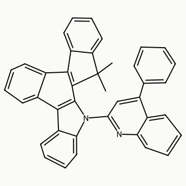 CC1(C)c2ccccc2-c2c1c1c(c3ccccc23)c2ccccc2n1-c1cc(-c2ccccc2)c2ccccc2n1